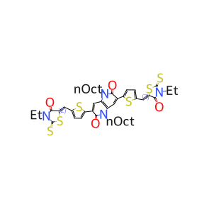 CCCCCCCCn1c(=O)c(-c2ccc(/C=C3\SC(=S)N(CC)C3=O)s2)cc2c1cc(-c1ccc(/C=C3\SC(=S)N(CC)C3=O)s1)c(=O)n2CCCCCCCC